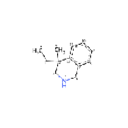 CCC1(C)CNCc2ccccc21